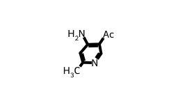 CC(=O)c1cnc(C)cc1N